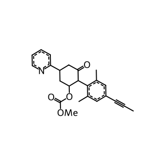 CC#Cc1cc(C)c(C2C(=O)CC(c3ccccn3)CC2OC(=O)OC)c(C)c1